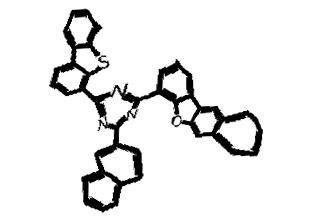 c1ccc2cc(-c3nc(-c4cccc5c4oc4cc6ccccc6cc45)nc(-c4cccc5c4sc4ccccc45)n3)ccc2c1